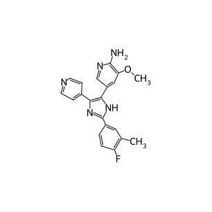 COc1cc(-c2[nH]c(-c3ccc(F)c(C)c3)nc2-c2ccncc2)cnc1N